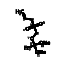 C=CCS(=O)(=O)CO[Si](CC)(OC)OC